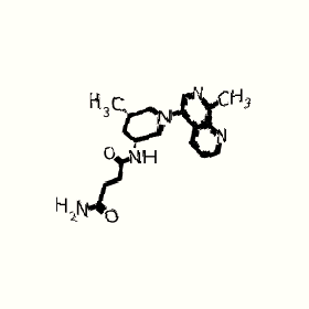 Cc1ncc(N2C[C@@H](C)C[C@@H](NC(=O)CCC(N)=O)C2)c2cccnc12